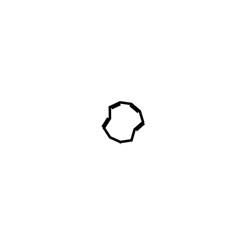 [CH]1C/C=C/C=C\C=C/C=C/C1